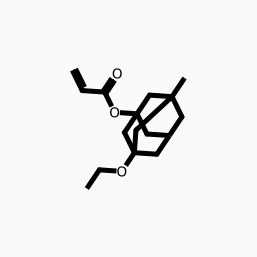 C=CC(=O)OC12CC3CC(C)(CC(OCC)(C3)C1)C2